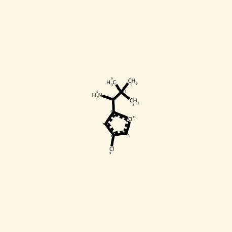 CC(C)(C)C(N)c1cc(Cl)co1